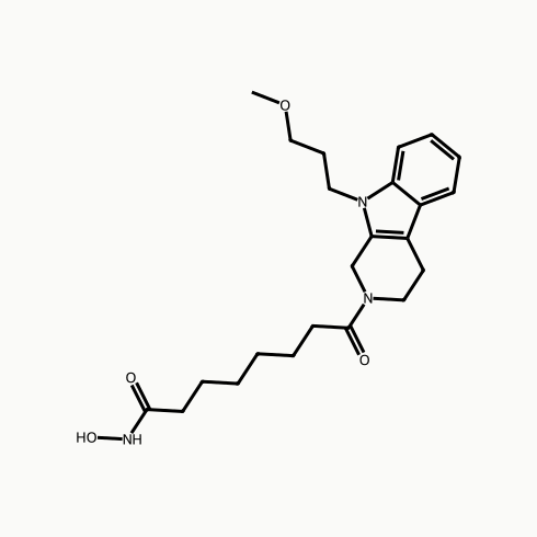 COCCCn1c2c(c3ccccc31)CCN(C(=O)CCCCCCC(=O)NO)C2